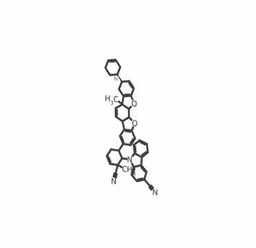 CC1(C#N)C=CCC(c2ccc3c(c2)C2C=CC4(C)C5=C(C=CC([C@@H]6CC=CCC6)C5)OC4C2O3)C1n1c2ccccc2c2cc(C#N)ccc21